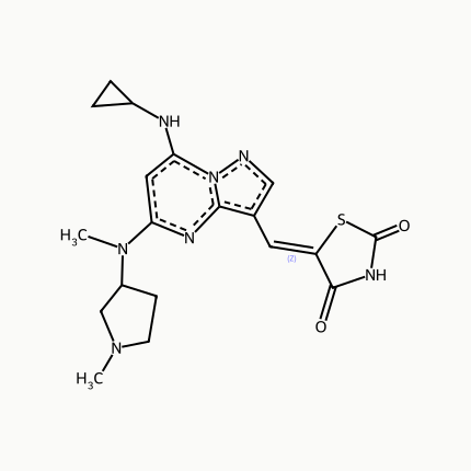 CN1CCC(N(C)c2cc(NC3CC3)n3ncc(/C=C4\SC(=O)NC4=O)c3n2)C1